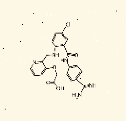 N=C(N)c1ccc(NC(=O)c2cc(Cl)ccc2NCc2ncccc2OCC(=O)O)cc1